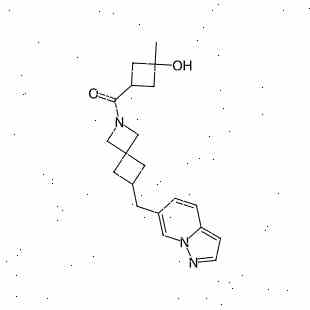 CC1(O)CC(C(=O)N2CC3(CC(Cc4ccc5ccnn5c4)C3)C2)C1